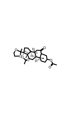 CC(=O)OC1CC[C@@]2(C)C(C1)C(=O)C[C@@H]1[C@@H]2CC[C@@]2(C)[C@H]1CC[C@]2(OC(C)=O)C1(C)OCCO1